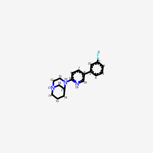 Fc1cccc(-c2ccc(N3CCN4CCCC3C4)nc2)c1